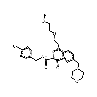 CCOCCOCCn1cc(C(=O)NCc2ccc(Cl)cc2)c(=O)c2cc(CN3CCOCC3)ccc21